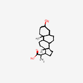 CC(C(=O)O)C1CCC2C3CCC4CC(O)CCC4(C)C3CCC12C